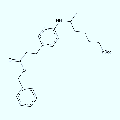 CCCCCCCCCCCCCCC(C)Nc1ccc(CCC(=O)OCc2ccccc2)cc1